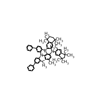 Cc1cc2c3c(c1)N(c1cc4c(cc1C)C(C)(C)CC4(C)C)c1cc4c(cc1B3c1ccc(-c3ccccc3)cc1N2c1ccc(-c2ccccc2)cc1C)C(C)(C)CCC4(C)C